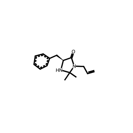 C=CCN1C(=O)[C@H](Cc2ccccc2)NC1(C)C